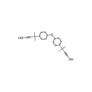 CC(C)(C#CO)c1ccc(Oc2ccc(C(C)(C)C#CO)cc2)cc1